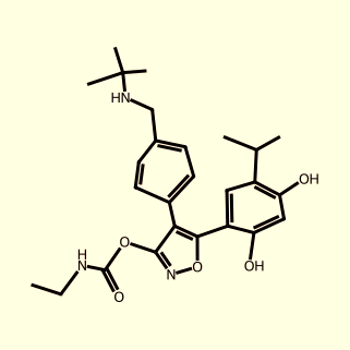 CCNC(=O)Oc1noc(-c2cc(C(C)C)c(O)cc2O)c1-c1ccc(CNC(C)(C)C)cc1